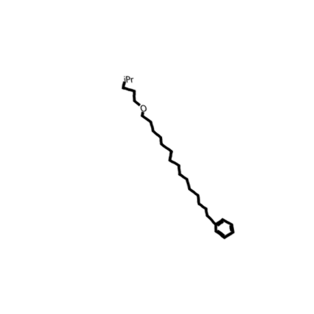 CC(C)CCCOCCCCCCCCCCCCCCCc1ccccc1